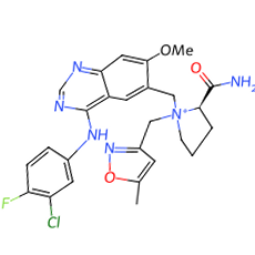 COc1cc2ncnc(Nc3ccc(F)c(Cl)c3)c2cc1C[N+]1(Cc2cc(C)on2)CCC[C@@H]1C(N)=O